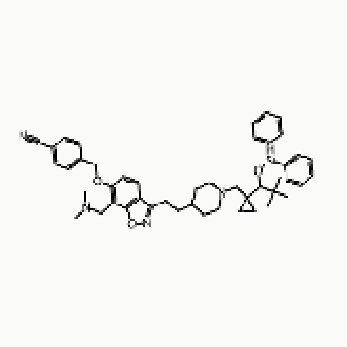 CN(C)Cc1c(OCc2ccc(C#N)cc2)ccc2c(CCC3CCN(CC4(C(O[SiH](c5ccccc5)c5ccccc5)C(C)(C)C)CC4)CC3)noc12